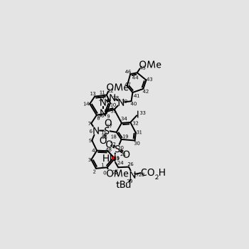 COc1ccc(CN(Cc2ccc(OC)cc2)S(=O)(=O)c2c(S(=O)(=O)N[C@@H](C)CN(C(=O)O)C(C)(C)C)ccc(I)c2-c2nnnn2Cc2ccc(OC)cc2)cc1